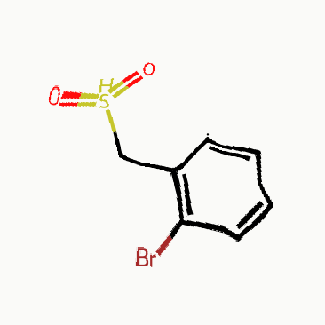 O=[SH](=O)Cc1[c]cccc1Br